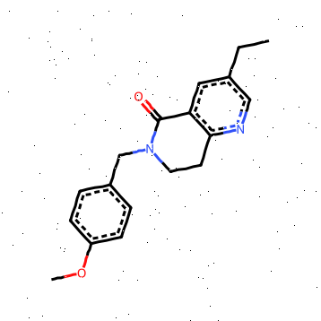 CCc1cnc2c(c1)C(=O)N(Cc1ccc(OC)cc1)CC2